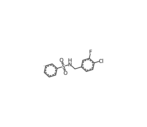 O=S(=O)(NCc1ccc(Cl)c(F)c1)c1c[c]ccc1